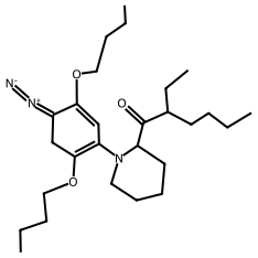 CCCCOC1=CC(N2CCCCC2C(=O)C(CC)CCCC)=C(OCCCC)CC1=[N+]=[N-]